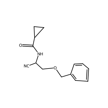 N#CC(COCc1ccccc1)NC(=O)C1CC1